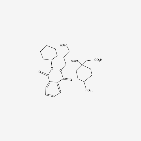 CCCCCCCCC1CCC(CCCCCCCC)(CC(=O)O)CC1.CCCCCCCCCCCCCOC(=O)c1ccccc1C(=O)OC1CCCCC1